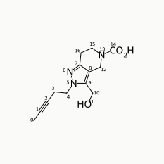 CC#CCCn1nc2c(c1CO)CN(C(=O)O)CC2